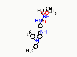 Cc1ccc(CN(Cc2ccc(C)cc2)c2ccc3[nH]c(-c4ccc(NC(=O)CNC(=O)OC(C)(C)C)cc4)cc3c2)cc1